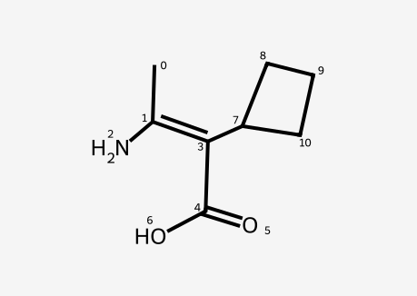 C/C(N)=C(/C(=O)O)C1CCC1